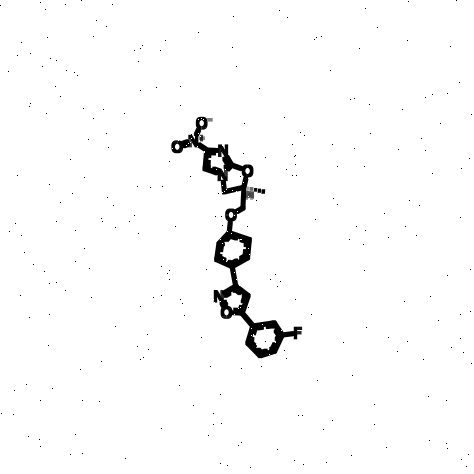 C[C@]1(COc2ccc(-c3cc(-c4cccc(F)c4)on3)cc2)Cn2cc([N+](=O)[O-])nc2O1